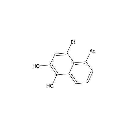 CCc1cc(O)c(O)c2cccc(C(C)=O)c12